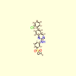 CS(=O)(=O)c1cccc(Nc2ncc3cc(-c4ccccc4Cl)ccc3n2)c1